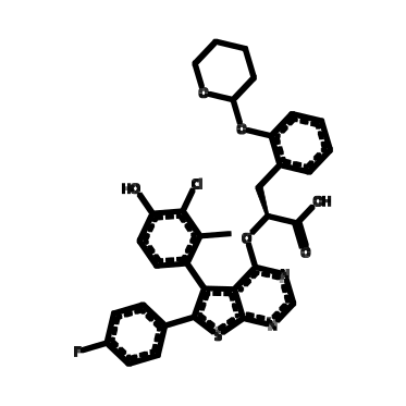 Cc1c(-c2c(-c3ccc(F)cc3)sc3ncnc(O[C@@H](Cc4ccccc4OC4CCCCO4)C(=O)O)c23)ccc(O)c1Cl